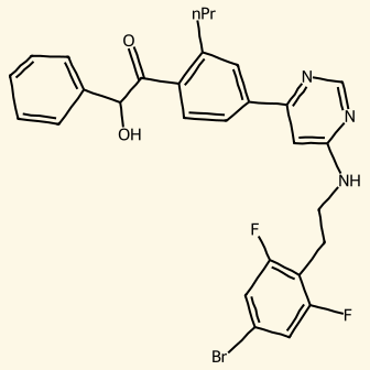 CCCc1cc(-c2cc(NCCc3c(F)cc(Br)cc3F)ncn2)ccc1C(=O)C(O)c1ccccc1